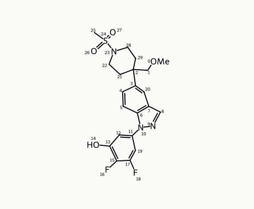 COCC1(c2ccc3c(cnn3-c3cc(O)c(F)c(F)c3)c2)CCN(S(C)(=O)=O)CC1